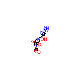 COC1CN(C2=CC(=O)OC2)C(=O)C12CCN(CC(O)c1ccc(-n3cnnn3)nc1)CC2